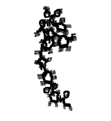 C=CC(=O)N1CCC[C@@H](S(=O)(=O)c2ccc(N3CC(CN4CCC(C(CNC(C)=O)(c5cccc(F)c5)[C@H]5CCC[C@@H]5NC(=O)OC)CC4)C3)cc2)C1